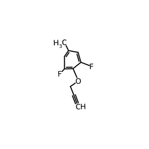 C#CCOc1c(F)cc(C)cc1F